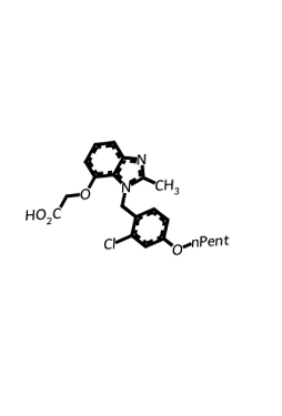 CCCCCOc1ccc(Cn2c(C)nc3cccc(OCC(=O)O)c32)c(Cl)c1